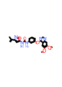 COc1cc2ncnc(Oc3cccc(NC(=O)Nc4cc(C(C)C)no4)c3)c2cc1OC